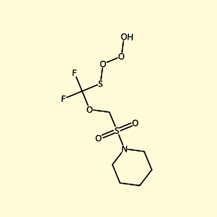 O=S(=O)(COC(F)(F)SOOO)N1CCCCC1